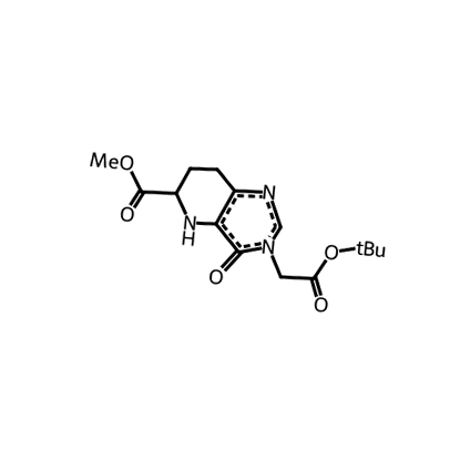 COC(=O)C1CCc2ncn(CC(=O)OC(C)(C)C)c(=O)c2N1